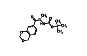 C[C@H](NC(=O)OC(C)(C)C)C(=O)c1ccc2c(c1)OCOC2